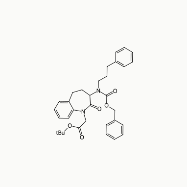 CC(C)(C)OC(=O)CN1C(=O)C(N(CCCc2ccccc2)C(=O)OCc2ccccc2)CCc2ccccc21